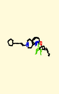 C[C@@H](Oc1ccc2c(n1)CCN(CCC1CCCCC1)CC2)C(F)(F)F